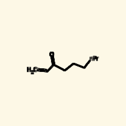 C=CC(=O)CCCCCC